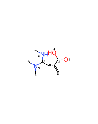 C=CC(=O)O.CNC(C)N(C)C